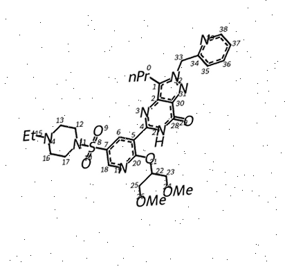 CCCc1c2nc(-c3cc(S(=O)(=O)N4CCN(CC)CC4)cnc3OC(COC)COC)[nH]c(=O)c2nn1Cc1ccccn1